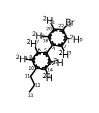 [2H]c1c([2H])c(-c2c([2H])c([2H])c(CCC)c([2H])c2[2H])c([2H])c([2H])c1Br